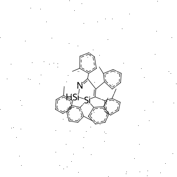 Cc1ccccc1C1=N[SiH](c2ccccc2C)[Si](c2ccccc2C)(c2ccccc2C)C(c2ccccc2C)=C1c1ccccc1C